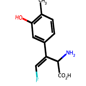 Cc1ccc(C(=CF)C(N)C(=O)O)cc1O